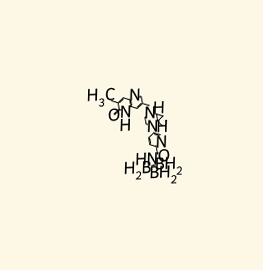 BC(B)(B)NC(=O)c1ccc(N2CCN(Cc3cnc4cc(CC)c(=O)[nH]c4c3)[C@@H]3C[C@@H]32)cn1